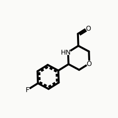 O=CC1COCC(c2ccc(F)cc2)N1